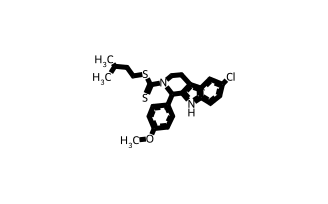 COc1ccc(C2c3[nH]c4ccc(Cl)cc4c3CCN2C(=S)SCCC(C)C)cc1